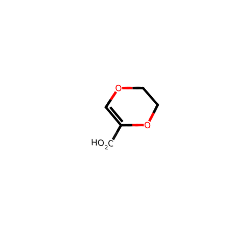 O=C(O)C1=COCCO1